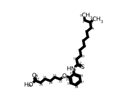 CCC(C)CCCCCCCCC(=S)Nc1ccccc1OCCCCCC(=O)O